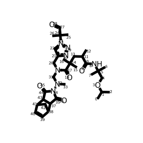 CC(C)OCC(C)(C)NC(=O)C(C)CC(C)(C)C(=O)N(Cc1cn(C(C)(C)C=O)nn1)CN(C)N1C(=O)C2C3C=CC(C3)C2C1=O